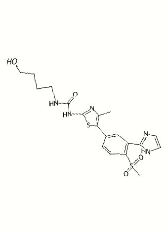 Cc1nc(NC(=O)NCCCCO)sc1-c1ccc(S(C)(=O)=O)c(-c2ncc[nH]2)c1